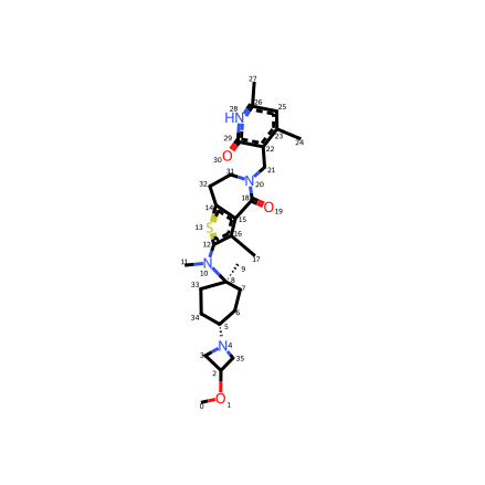 COC1CN([C@H]2CC[C@](C)(N(C)c3sc4c(c3C)C(=O)N(Cc3c(C)cc(C)[nH]c3=O)CC4)CC2)C1